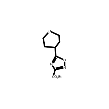 CCOC(=O)c1noc(C2CCOCC2)n1